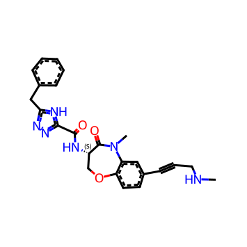 CNCC#Cc1ccc2c(c1)N(C)C(=O)[C@@H](NC(=O)c1nnc(Cc3ccccc3)[nH]1)CO2